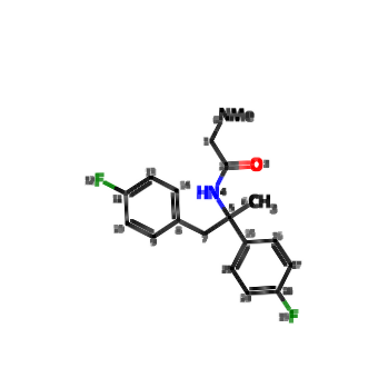 CNCC(=O)NC(C)(Cc1ccc(F)cc1)c1ccc(F)cc1